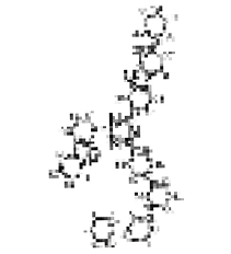 c1ccc(-c2cccc(-c3cccc(-c4ccc(-c5nc(-c6ccc7c(c6)oc6cc(-c8ccccc8)ccc67)nc(-c6cccc7c6oc6ccccc67)n5)cc4)c3)c2)cc1